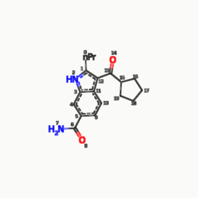 CCCc1[nH]c2cc(C(N)=O)ccc2c1C(=O)C1CCCC1